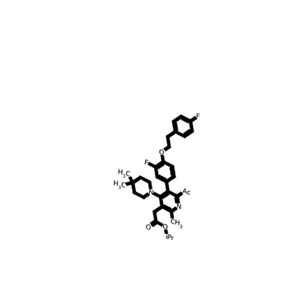 CC(=O)c1nc(C)c(CC(=O)OC(C)C)c(N2CCC(C)(C)CC2)c1-c1ccc(OCCc2ccc(F)cc2)c(F)c1